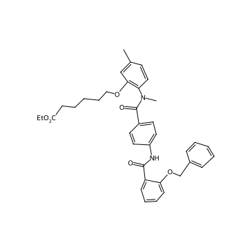 CCOC(=O)CCCCCOc1cc(C)ccc1N(C)C(=O)c1ccc(NC(=O)c2ccccc2OCc2ccccc2)cc1